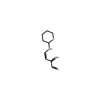 N=C(C=O)/C=C\NC1CCCCO1